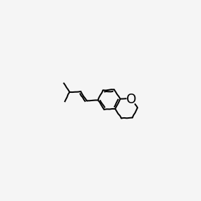 CC(C)/C=C/c1ccc2c(c1)CCCO2